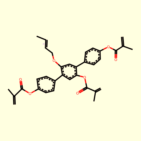 C=C(C)C(=O)Oc1ccc(-c2cc(OC(=O)C(=C)C)c(-c3ccc(OC(=O)C(=C)C)cc3)cc2OC/C=C/C)cc1